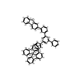 c1ccc(-c2nc(-c3cccc(-c4ccc5c(c4)oc4ccccc45)c3)nc(-c3cccc(-c4cccc5c4C4(c6ccccc6-c6ccccc64)c4ccccc4-5)c3)n2)cc1